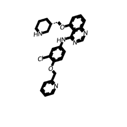 Clc1cc(Nc2ncnc3cccc(OC[C@H]4CCCNC4)c23)ccc1OCc1ccccn1